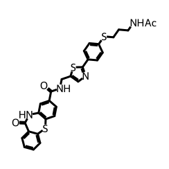 CC(=O)NCCCSc1ccc(-c2ncc(CNC(=O)c3ccc4c(c3)NC(=O)c3ccccc3S4)s2)cc1